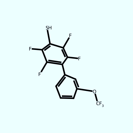 Fc1c(F)c(-c2cccc(OC(F)(F)F)c2)c(F)c(F)c1S